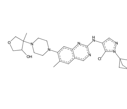 Cc1cc2cnc(Nc3cnn(C45CC(C4)C5)c3Cl)nc2cc1N1CCN(C2(C)COCC2O)CC1